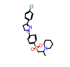 CC(CS(=O)(=O)c1ccc(N2CCC(c3ccc(Cl)cc3)=N2)cc1)N1CCCCC1